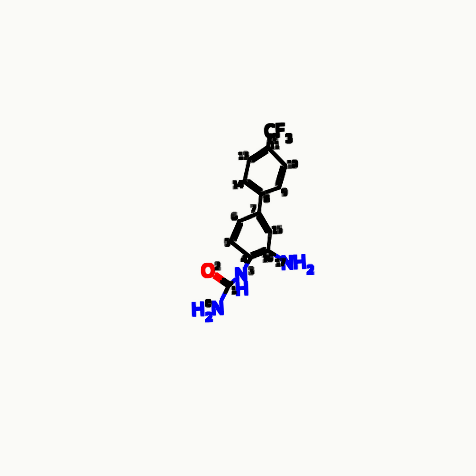 NC(=O)Nc1ccc(-c2ccc(C(F)(F)F)cc2)cc1N